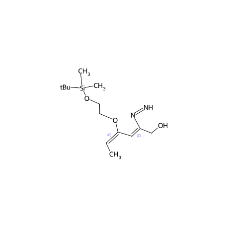 C/C=C(\C=C(\CO)N=N)OCCO[Si](C)(C)C(C)(C)C